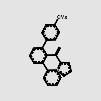 C=C(c1ccco1)c1c(-c2ccc(OC)cc2)[c]ccc1-c1ccccc1